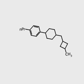 CCCc1ccc(C2CCC(CC3CC(C)C3)CC2)cc1